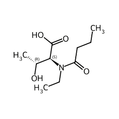 CCCC(=O)N(CC)[C@H](C(=O)O)[C@@H](C)O